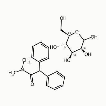 CN(C)C(=O)C(c1ccccc1)c1ccccc1.OC[C@H]1OC(O)[C@@H](O)[C@@H](O)[C@@H]1O